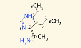 CCCC(CCC)C(/N=C\N)=C(\C)N